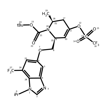 CC(C)n1cnc2cc(OC[C@@H]3C=C(OS(=O)(=O)C(F)(F)F)C[C@H](C)N3C(=O)OC(C)(C)C)cc(C(F)(F)F)c21